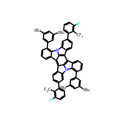 CC(C)(C)c1cc(-c2cccc3c4c5c6ccc(-c7cccc(F)c7C(F)(F)F)cc6n6c7c(-c8cc(C(C)(C)C)cc(C(C)(C)C)c8)cccc7c(c7c8ccc(-c9cccc(F)c9C(F)(F)F)cc8n(c23)c74)c56)cc(C(C)(C)C)c1